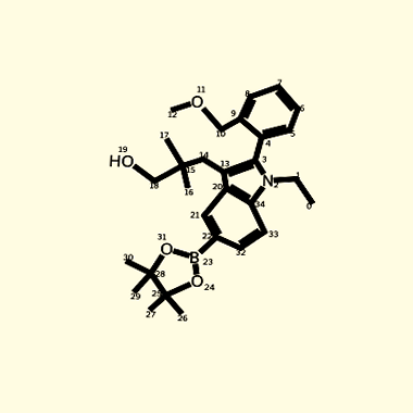 CCn1c(-c2ccccc2COC)c(CC(C)(C)CO)c2cc(B3OC(C)(C)C(C)(C)O3)ccc21